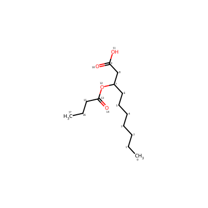 CCCCCCCC(CC(=O)O)OC(=O)CCC